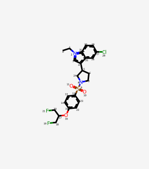 CCn1cc(C2CCN(S(=O)(=O)c3ccc(OC(CF)CF)cc3)C2)c2cc(Cl)ccc21